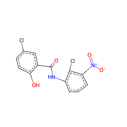 O=C(Nc1cccc([N+](=O)[O-])c1Cl)c1cc(Cl)ccc1O